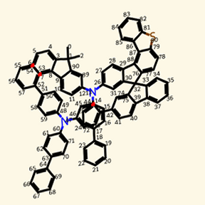 CC1(C)c2ccccc2-c2ccc(N(c3ccc(-c4ccccc4)cc3)c3ccc4c(c3)C3(c5ccccc5-c5ccc(-c6ccc(N(c7ccc(-c8ccccc8)cc7)c7ccc(-c8ccccc8)cc7)cc6)cc53)c3ccc5sc6ccccc6c5c3-4)cc21